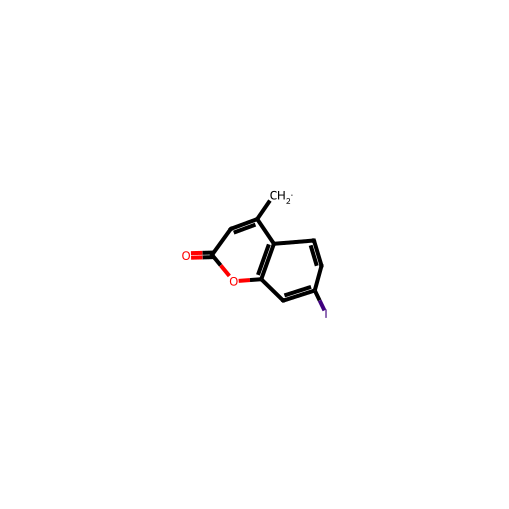 [CH2]c1cc(=O)oc2cc(I)ccc12